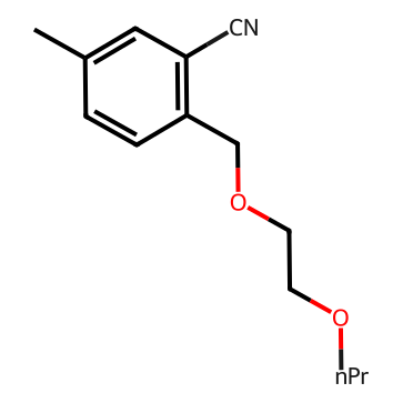 CCCOCCOCc1ccc(C)cc1C#N